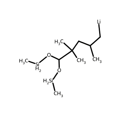 [Li][CH2]C(C)CC(C)(C)C(O[SiH2]C)O[SiH2]C